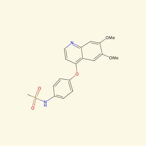 COc1cc2nccc(Oc3ccc(NS(C)(=O)=O)cc3)c2cc1OC